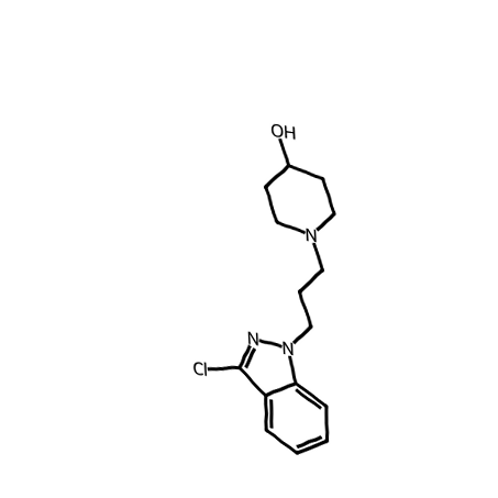 OC1CCN(CCCn2nc(Cl)c3ccccc32)CC1